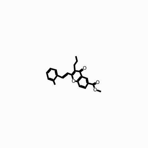 CCCc1c(C=Cc2ccccc2C)oc2ccc(C(=O)OC)cc2c1=O